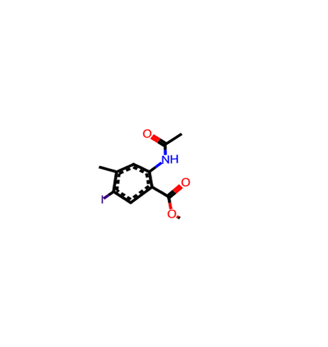 COC(=O)c1cc(I)c(C)cc1NC(C)=O